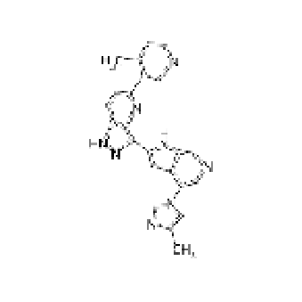 Cc1cn(-c2cncc3[nH]c(-c4n[nH]c5ccc(-c6cnccc6C)nc45)cc23)cn1